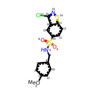 COc1ccc(CNS(=O)(=O)c2ccc3snc(Cl)c3c2)cc1